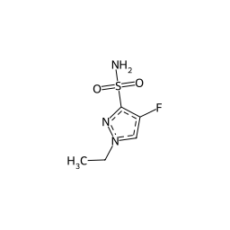 CCn1cc(F)c(S(N)(=O)=O)n1